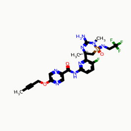 CC#CCOc1cnc(C(=O)Nc2ccc(F)c([C@]3(C)CS(=O)(=NCC(F)(F)F)N(C)C(N)=N3)n2)cn1